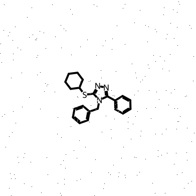 c1ccc(Cn2c(SC3CCCCC3)nnc2-c2ccccc2)cc1